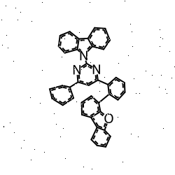 c1ccc(-c2cc(-c3ccccc3-c3cccc4c3oc3ccccc34)nc(-n3c4ccccc4c4ccccc43)n2)cc1